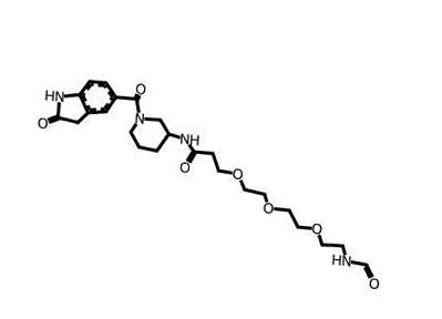 O=CNCCOCCOCCOCCC(=O)NC1CCCN(C(=O)c2ccc3c(c2)CC(=O)N3)C1